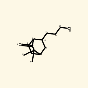 CC1(C)C(=O)C2CCC1CC2CCCCl